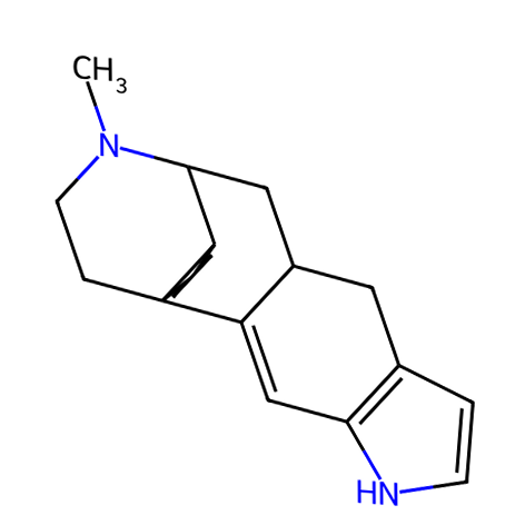 CN1CCC23CCCCC2C1CC1Cc2cc[nH]c2C=C13